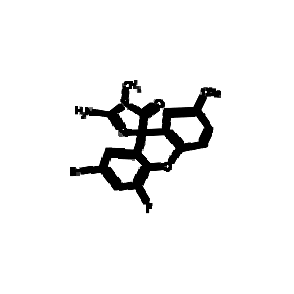 COc1ccc2c(c1)C1(N=C(N)N(C)C1=O)c1cc(Br)cc(F)c1O2